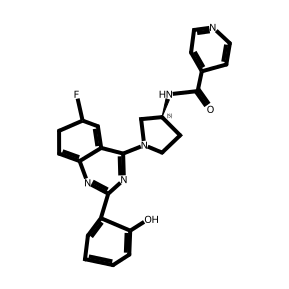 O=C(N[C@H]1CCN(c2nc(-c3ccccc3O)nc3c2=CC(F)CC=3)C1)c1ccncc1